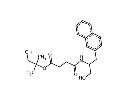 CC(C)(CO)OC(=O)CCC(=O)NC(CO)Cc1ccc2ccccc2c1